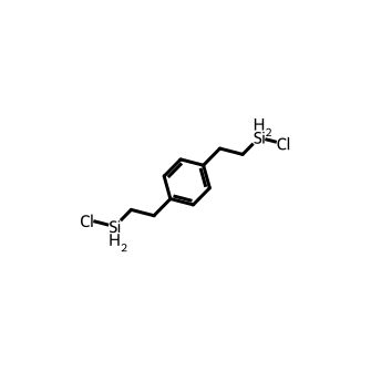 Cl[SiH2]CCc1ccc(CC[SiH2]Cl)cc1